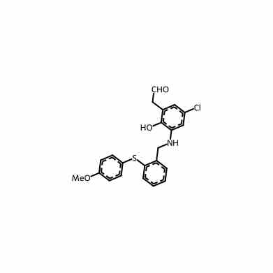 COc1ccc(Sc2ccccc2CNc2cc(Cl)cc(CC=O)c2O)cc1